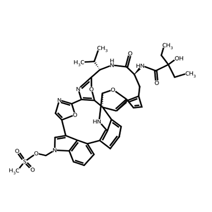 CCC(O)(CC)C(=O)N[C@H]1Cc2ccc3c(c2)[C@]24c5cccc(c5NC2O3)-c2cccc3c2c(cn3COS(C)(=O)=O)-c2cnc(o2)-c2nc(oc24)[C@H](C(C)C)NC1=O